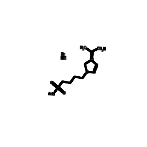 CC(=O)OS(=O)(=O)CCCCN1C=C[N+](=C(C)C(=O)O)C1.Cl.[Zn]